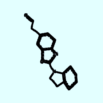 O=CCc1ccc2nc(N3CCc4ccccc43)oc2c1